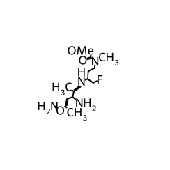 COC(=O)N(C)CC[C@@H](CF)N/C=C(\C)C(N)/C=C(\C)ON